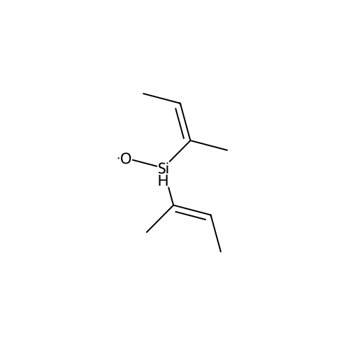 CC=C(C)[SiH]([O])C(C)=CC